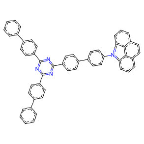 c1ccc(-c2ccc(-c3nc(-c4ccc(-c5ccccc5)cc4)nc(-c4ccc(-c5ccc(-n6c7cccc8ccc9cccc6c9c87)cc5)cc4)n3)cc2)cc1